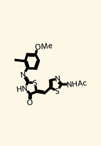 COc1ccc(/N=C2/NC(=O)/C(=C/c3cnc(NC(C)=O)s3)S2)c(C)c1